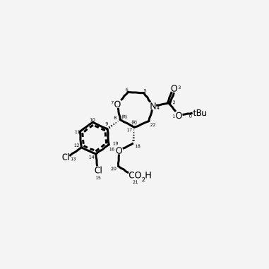 CC(C)(C)OC(=O)N1CCO[C@@H](c2ccc(Cl)c(Cl)c2)[C@@H](COCC(=O)O)C1